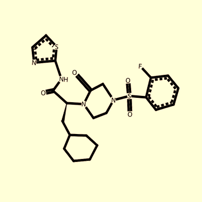 O=C(Nc1nccs1)[C@H](CC1CCCCC1)N1CCN(S(=O)(=O)c2ccccc2F)CC1=O